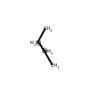 CCCCCCCCCCCCCCCCCC(N)OC(=O)CCCCCCCCC(=O)OC(N)CCCCCCCCCCCCCCCCC